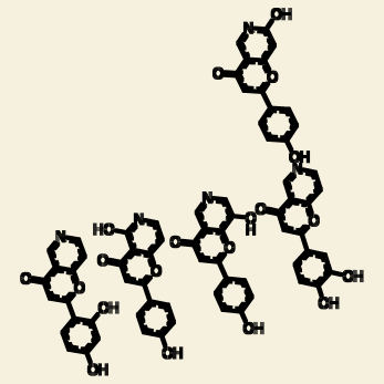 O=c1cc(-c2ccc(O)c(O)c2)oc2ccncc12.O=c1cc(-c2ccc(O)cc2)oc2c(O)cncc12.O=c1cc(-c2ccc(O)cc2)oc2cc(O)ncc12.O=c1cc(-c2ccc(O)cc2)oc2ccnc(O)c12.O=c1cc(-c2ccc(O)cc2O)oc2ccncc12